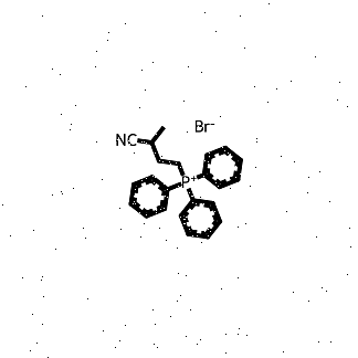 CC(C#N)CC[P+](c1ccccc1)(c1ccccc1)c1ccccc1.[Br-]